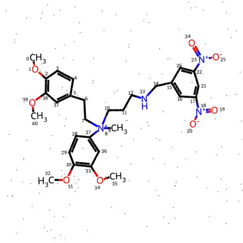 COc1ccc(CC[N+](C)(CCCNCc2cc([N+](=O)[O-])cc([N+](=O)[O-])c2)c2ccc(OC)c(OC)c2)cc1OC